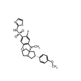 COc1ccc([C@@H]2CN3CCC[C@]3(N(C)c3cc(F)c(S(=O)(=O)Nc4nccs4)cc3Cl)C2)cc1